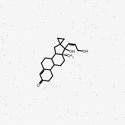 C[C@@]12CCC3C4CCC(=O)C=C4CCC3C1CC1(CC1)C2(O)/C=C\CO